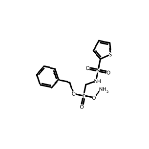 NOP(=O)(CNS(=O)(=O)c1cccs1)OCc1ccccc1